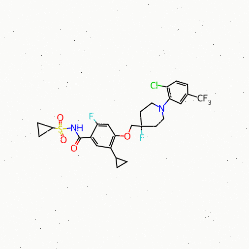 O=C(NS(=O)(=O)C1CC1)c1cc(C2CC2)c(OCC2(F)CCN(c3cc(C(F)(F)F)ccc3Cl)CC2)cc1F